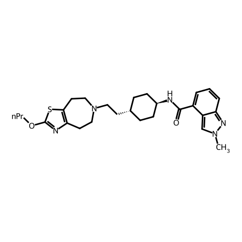 CCCOc1nc2c(s1)CCN(CC[C@H]1CC[C@H](NC(=O)c3cccc4nn(C)cc34)CC1)CC2